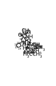 CC(C)C(NC(=O)Cn1c(-c2ccccc2)cc2c(=O)n(C)c(=O)[nH]c2c1=O)(O[SiH](C)C)C(C(C)(C)C)C(F)(F)F